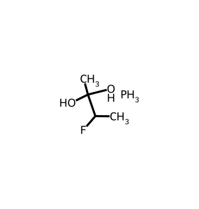 CC(F)C(C)(O)O.P